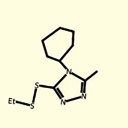 CCSSc1nnc(C)n1C1CCCCC1